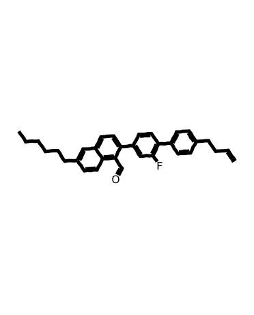 C=CCCc1ccc(-c2ccc(-c3ccc4cc(CCCCCC)ccc4c3C=O)cc2F)cc1